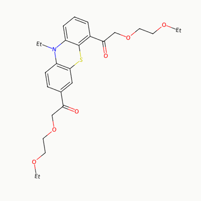 CCOCCOCC(=O)c1ccc2c(c1)Sc1c(C(=O)COCCOCC)cccc1N2CC